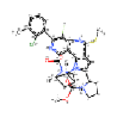 COC(=O)N1CCCC1c1cc2c(SC)nc3c(F)c(-c4cccc(C)c4Cl)ncc3c2n1[C@H]1[C@@H]2C[C@H]1N(C(=O)O)C2